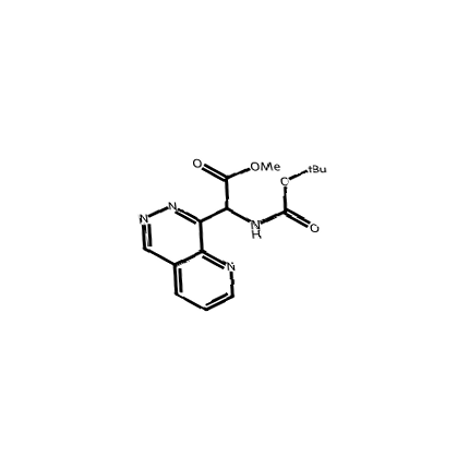 COC(=O)C(NC(=O)OC(C)(C)C)c1nncc2cccnc12